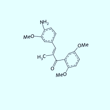 COc1ccc(OC)c(C(=O)C(C)=Cc2ccc(N)c(OC)c2)c1